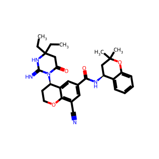 CCC1(CC)CC(=O)N([C@@H]2CCOc3c(C#N)cc(C(=O)N[C@H]4CC(C)(C)Oc5ccccc54)cc32)C(=N)N1